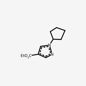 CCOC(=O)c1cnn(C2CCCC2)c1